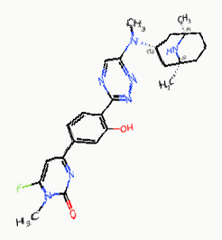 CN(c1cnc(-c2ccc(-c3cc(F)n(C)c(=O)n3)cc2O)nn1)[C@H]1C[C@]2(C)CCC[C@](C)(C1)N2